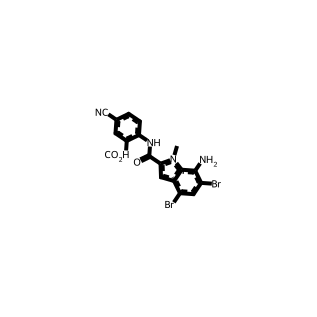 Cn1c(C(=O)Nc2ccc(C#N)cc2C(=O)O)cc2c(Br)cc(Br)c(N)c21